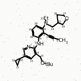 CC#Cc1c(Nc2ncc(C3CC3)cc2COC(C)(C)C)cccc1N(CC)CC1CCOC1